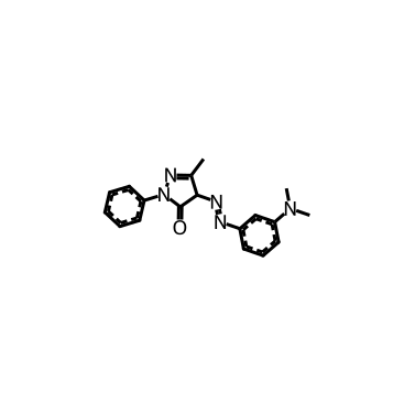 CC1=NN(c2ccccc2)C(=O)C1N=Nc1cccc(N(C)C)c1